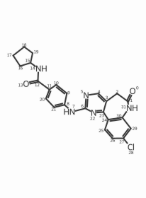 O=C1Cc2cnc(Nc3ccc(C(=O)NC4CCCC4)cc3)nc2-c2ccc(Cl)cc2N1